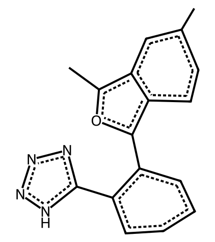 Cc1ccc2c(-c3ccccc3-c3nnn[nH]3)oc(C)c2c1